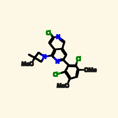 COc1cc(OC)c(Cl)c(-c2cc3cnc(Cl)cc3c(N3CC(C)(OC)C3)n2)c1Cl